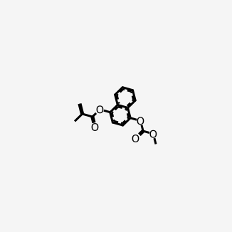 C=C(C)C(=O)Oc1ccc(OC(=O)OC)c2ccccc12